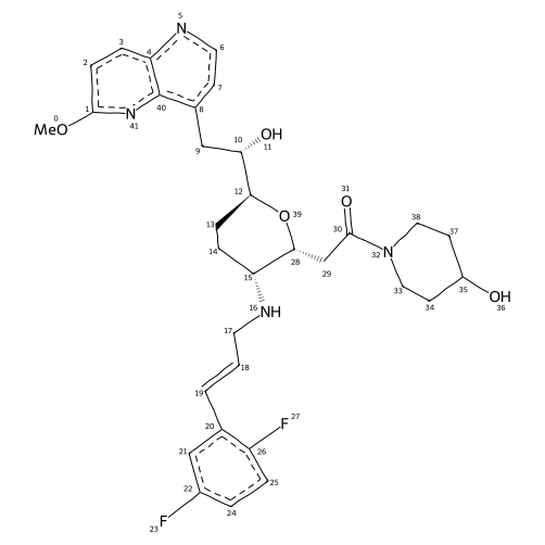 COc1ccc2nccc(C[C@H](O)[C@@H]3CC[C@@H](NCC=Cc4cc(F)ccc4F)[C@@H](CC(=O)N4CCC(O)CC4)O3)c2n1